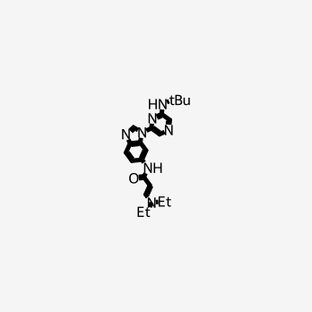 CCN(C=CC(=O)Nc1ccc2ncn(-c3cncc(NC(C)(C)C)n3)c2c1)CC